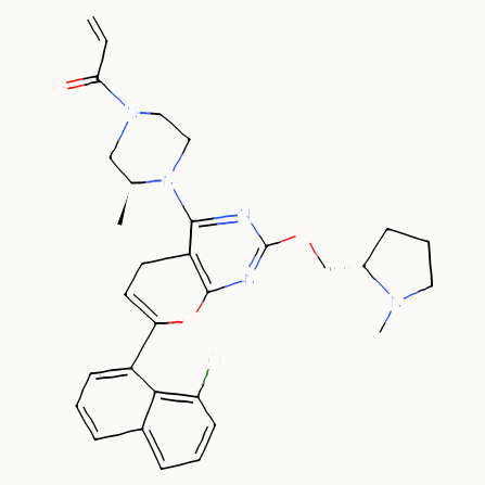 C=CC(=O)N1CCN(c2nc(OC[C@@H]3CCCN3C)nc3c2CC=C(c2cccc4cccc(Cl)c24)O3)[C@@H](C)C1